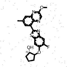 COc1cnc2c(-c3nc4cc(F)c(OC5CCC[C@@H]5O)cc4s3)cc(C)cc2n1